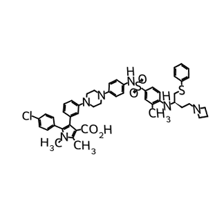 Cc1cc(S(=O)(=O)Nc2ccc(N3CCN(c4cccc(-c5c(C(=O)O)c(C)n(C)c5-c5ccc(Cl)cc5)c4)CC3)cc2)ccc1N[C@H](CCN1CCC1)CSc1ccccc1